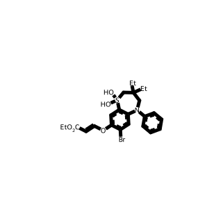 CCOC(=O)/C=C/Oc1cc2c(cc1Br)N(c1ccccc1)CC(CC)(CC)CS2(O)O